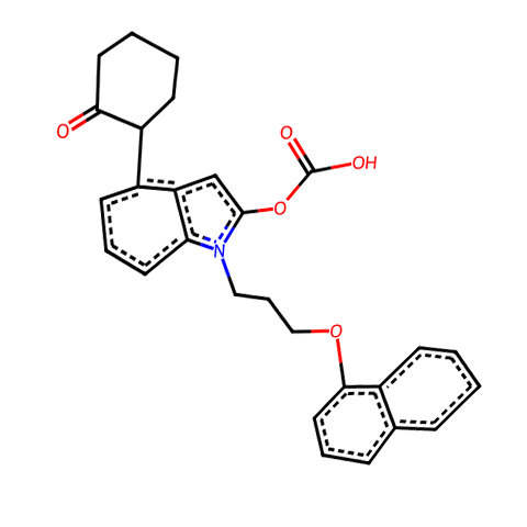 O=C(O)Oc1cc2c(C3CCCCC3=O)cccc2n1CCCOc1cccc2ccccc12